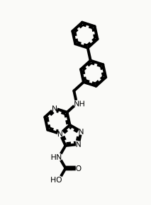 O=C(O)Nc1nnc2c(NCc3cccc(-c4ccccc4)c3)nccn12